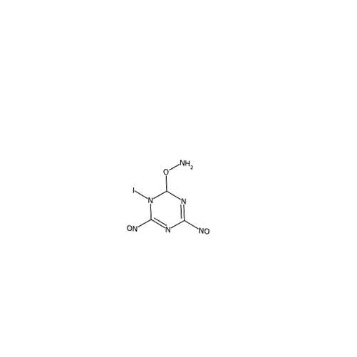 NOC1N=C(N=O)N=C(N=O)N1I